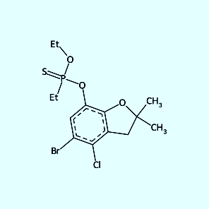 CCOP(=S)(CC)Oc1cc(Br)c(Cl)c2c1OC(C)(C)C2